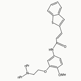 CCCN(CCC)CCOc1cc(NC(=O)C=Cc2cc3ccccc3s2)ccc1OC